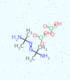 CC(C)(N)N=NC(C)(C)N.[O-][Cl+2]([O-])O.[O-][Cl+2]([O-])O